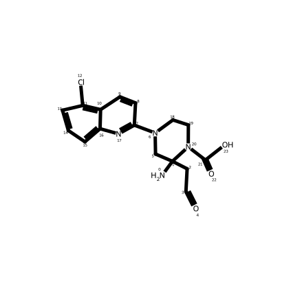 NC1(CC=O)CN(c2ccc3c(Cl)cccc3n2)CCN1C(=O)O